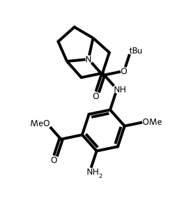 COC(=O)c1cc(NC2CC3CCC(C2)N3C(=O)OC(C)(C)C)c(OC)cc1N